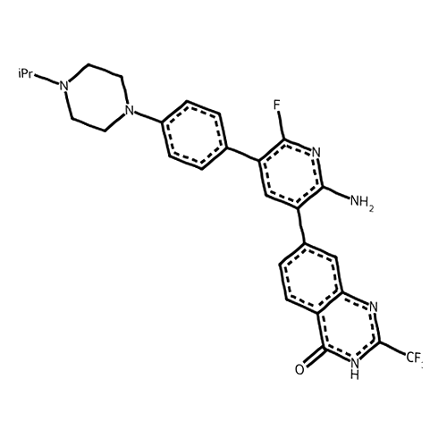 CC(C)N1CCN(c2ccc(-c3cc(-c4ccc5c(=O)[nH]c(C(F)(F)F)nc5c4)c(N)nc3F)cc2)CC1